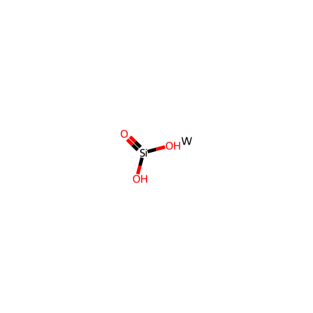 O=[Si](O)O.[W]